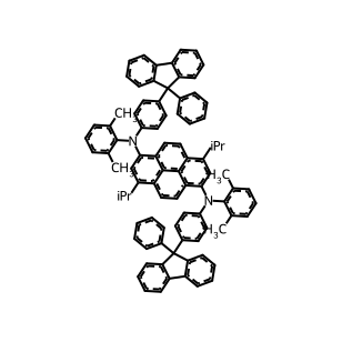 Cc1cccc(C)c1N(c1ccc(C2(c3ccccc3)c3ccccc3-c3ccccc32)cc1)c1cc(C(C)C)c2ccc3c(N(c4ccc(C5(c6ccccc6)c6ccccc6-c6ccccc65)cc4)c4c(C)cccc4C)cc(C(C)C)c4ccc1c2c43